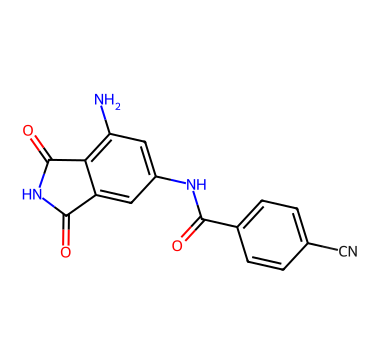 N#Cc1ccc(C(=O)Nc2cc(N)c3c(c2)C(=O)NC3=O)cc1